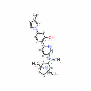 [2H]c1ccn(-c2ccc(-c3ccc(N(C)C4C[C@]5(C)CC[C@](C)(C4)N5)nn3)c(O)c2)c1